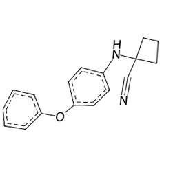 N#CC1(Nc2ccc(Oc3ccccc3)cc2)CCC1